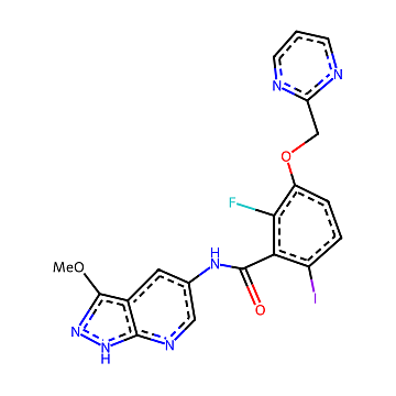 COc1n[nH]c2ncc(NC(=O)c3c(I)ccc(OCc4ncccn4)c3F)cc12